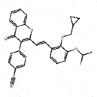 N#Cc1ccc(-c2c(C=Cc3cccc(OC(F)F)c3OCC3CC3)oc3ccccc3c2=O)cc1